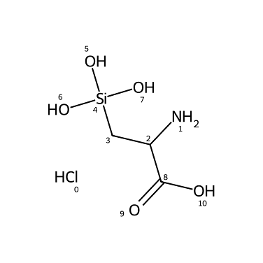 Cl.NC(C[Si](O)(O)O)C(=O)O